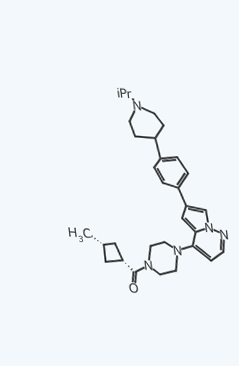 CC(C)N1CCC(c2ccc(-c3cc4c(N5CCN(C(=O)[C@H]6C[C@@H](C)C6)CC5)ccnn4c3)cc2)CC1